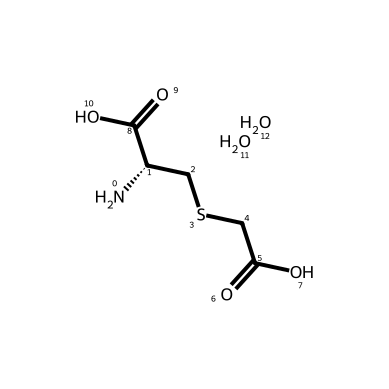 N[C@@H](CSCC(=O)O)C(=O)O.O.O